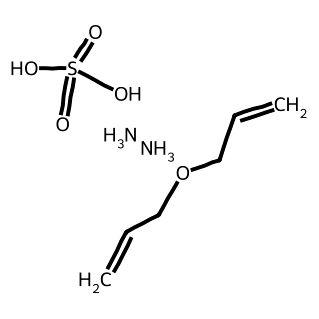 C=CCOCC=C.N.N.O=S(=O)(O)O